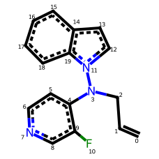 C=CCN(c1ccncc1F)n1ccc2ccccc21